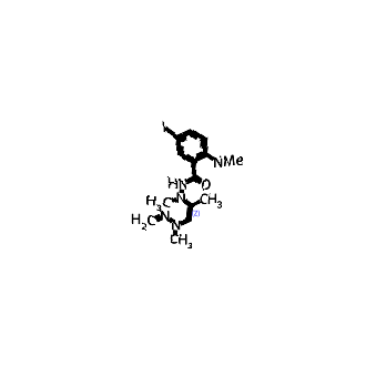 C=NN(C)/C=C(/C)N(C)NC(=O)c1cc(I)ccc1NC